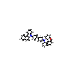 c1ccc(N(c2ccc(-c3ccc(-n4c5ccccc5c5c6ccccc6ccc54)cc3)cc2)c2cccc3oc4ccccc4c23)cc1